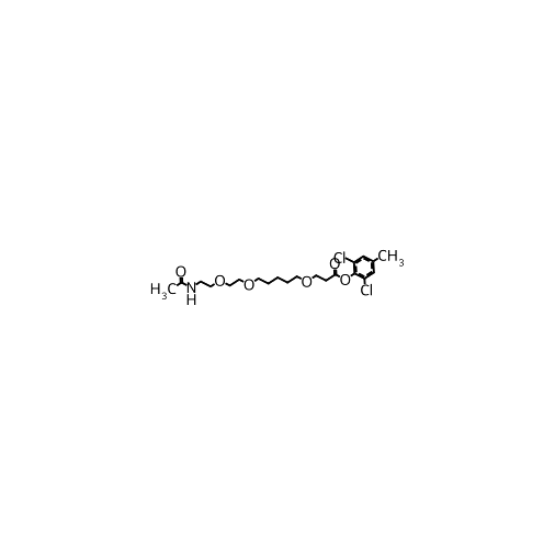 CC(=O)NCCOCCOCCCCCOCCC(=O)Oc1c(Cl)cc(C)cc1Cl